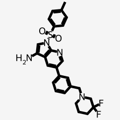 Cc1ccc(S(=O)(=O)n2cc(N)c3cc(-c4cccc(CN5CCCC(F)(F)C5)c4)cnc32)cc1